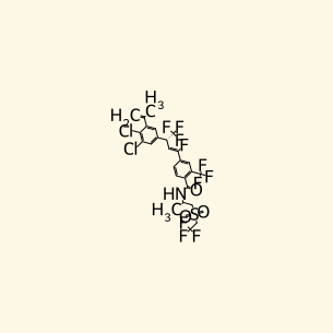 C=C(C)c1cc([C@@H](/C=C(\F)c2ccc(C(=O)N[C@H](C)CS(=O)(=O)CC(F)(F)F)c(C(F)(F)F)c2)C(F)(F)F)cc(Cl)c1Cl